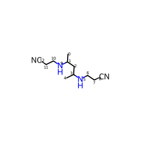 CC(CC(C)NCCC#N)NCCC#N